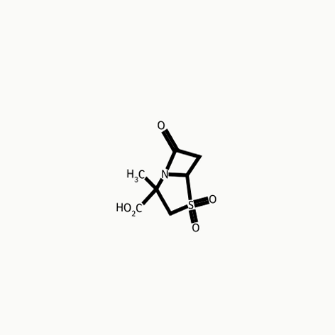 CC1(C(=O)O)CS(=O)(=O)C2CC(=O)N21